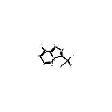 FC(F)(F)c1nnc2c(Cl)ccnn12